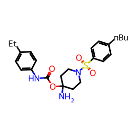 CCCCc1ccc(S(=O)(=O)N2CCC(N)(OC(=O)Nc3ccc(CC)cc3)CC2)cc1